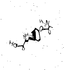 C[C@H](N)C(=O)Oc1ccc(C[C@H](N)C(=O)O)cc1